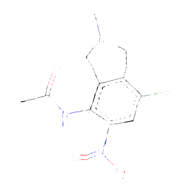 CC(=O)Nc1c([N+](=O)[O-])cc(Br)c2c1CN(C)C2